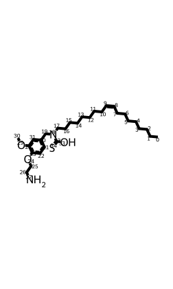 CCCCCCCC/C=C\CCCCCCCCN(Cc1ccc(OCCN)c(OC)c1)C(O)=S